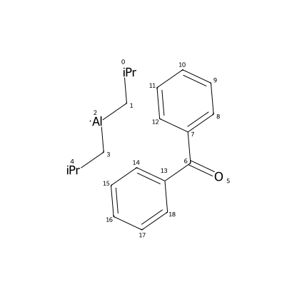 CC(C)[CH2][Al][CH2]C(C)C.O=C(c1ccccc1)c1ccccc1